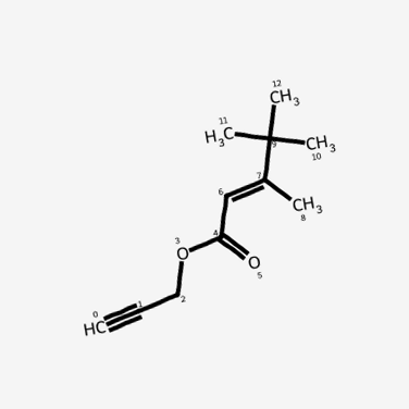 C#CCOC(=O)/C=C(\C)C(C)(C)C